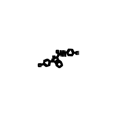 O=C(NNc1ccc(Cl)cc1)c1nn(-c2ccc(Cl)cc2)c2c1C1CCC2C1